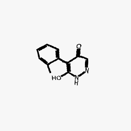 Cc1ccccc1-c1c(O)[nH]ncc1=O